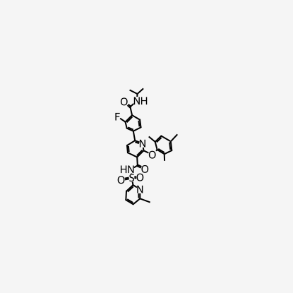 Cc1cc(C)c(Oc2nc(-c3ccc(C(=O)NC(C)C)c(F)c3)ccc2C(=O)NS(=O)(=O)c2cccc(C)n2)c(C)c1